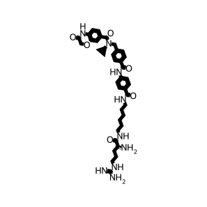 N=C(N)NCCC[C@H](N)C(=O)NCCCCCCNC(=O)c1ccc(NC(=O)c2ccc(CN(C(=O)c3ccc4c(c3)OCC(=O)N4)C3CC3)cc2)cc1